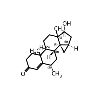 C[C@H]1C[C@@H]2[C@H](CC[C@]3(C)[C@H](O)C[C@H]4C[C@@]423)[C@@]2(C)CCC(=O)C=C12